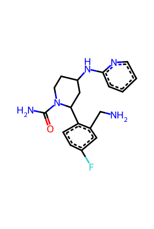 NCc1cc(F)ccc1C1CC(Nc2ccccn2)CCN1C(N)=O